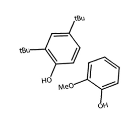 CC(C)(C)c1ccc(O)c(C(C)(C)C)c1.COc1ccccc1O